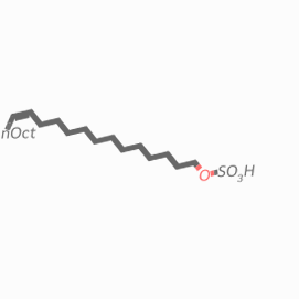 CCCCCCCC/C=C\CCCCCCCCCCCCOS(=O)(=O)O